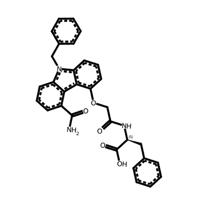 NC(=O)c1cccc2c1c1c(OCC(=O)N[C@@H](Cc3ccccc3)C(=O)O)cccc1n2Cc1ccccc1